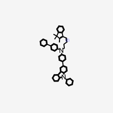 CC1=C(/C=C\CCN(c2ccc(-c3ccccc3)cc2)c2ccc(-c3ccc4c(c3)c3ccccc3n4-c3ccccc3)cc2)c2ccccc2C1(C)C